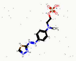 CN(CCOS(=O)(=O)O)c1ccc(N=Nc2nncs2)cc1